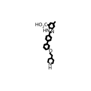 CC1=CC2N=C(c3ccc(-c4cccc(OCCC5CCNCC5)c4)cc3)NC2C(C(=O)O)=C1